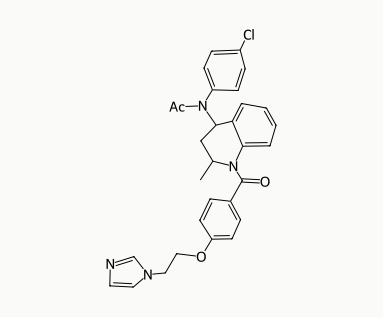 CC(=O)N(c1ccc(Cl)cc1)C1CC(C)N(C(=O)c2ccc(OCCn3ccnc3)cc2)c2ccccc21